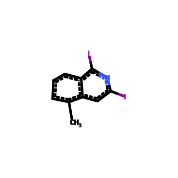 Cc1cccc2c(I)nc(I)cc12